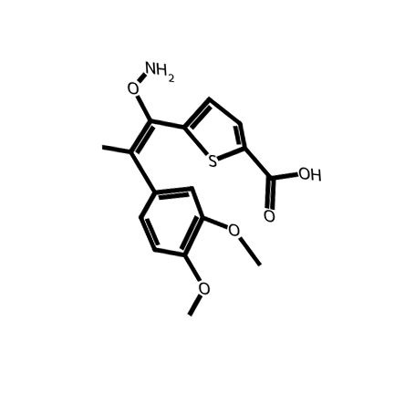 COc1ccc(/C(C)=C(/ON)c2ccc(C(=O)O)s2)cc1OC